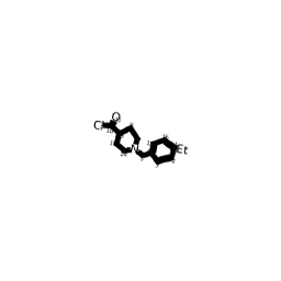 CCc1ccc(CN2CCC(C(=O)Cl)CC2)cc1